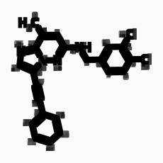 Cc1cc(NCc2ccc(Cl)c(Cl)c2)nn2c(C#Cc3ccccc3)cnc12